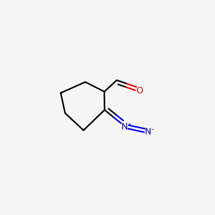 [N-]=[N+]=C1CCCCC1C=O